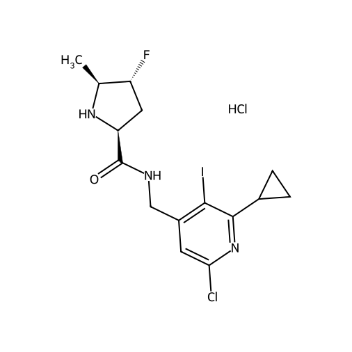 C[C@@H]1N[C@H](C(=O)NCc2cc(Cl)nc(C3CC3)c2I)C[C@H]1F.Cl